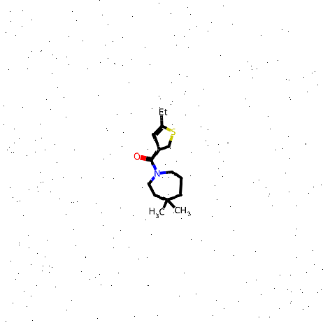 CCC1=CC(C(=O)N2CCCC(C)(C)CC2)CS1